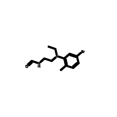 CCN(CCNC=O)c1cc(Br)ccc1C